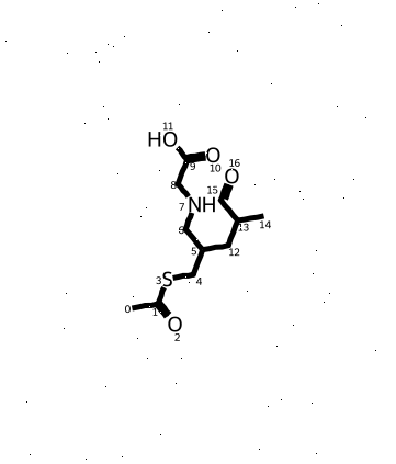 CC(=O)SCC(CNCC(=O)O)CC(C)C=O